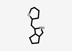 C1CCC(CC2NCC3CCCC32)OC1